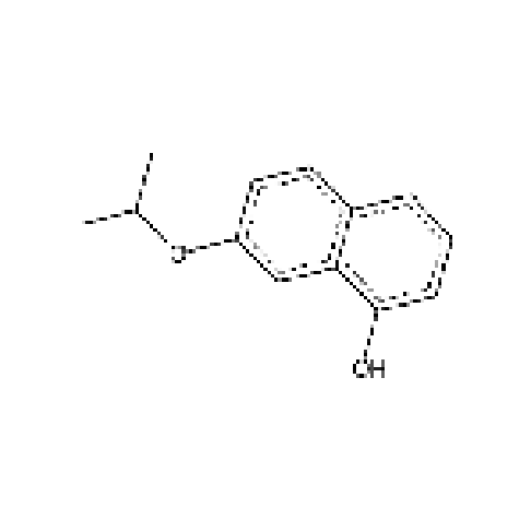 CC(C)Oc1ccc2cccc(O)c2c1